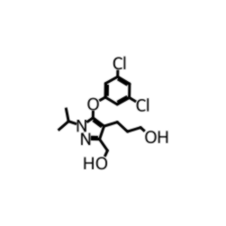 CC(C)n1nc(CO)c(CCCO)c1Oc1cc(Cl)cc(Cl)c1